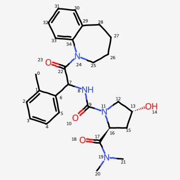 Cc1ccccc1C(NC(=O)N1C[C@H](O)C[C@H]1C(=O)N(C)C)C(=O)N1CCCCc2ccccc21